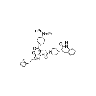 CCCN(CCC)C1CCN(C(=O)[C@H](CC(=O)N2CCC(N3Cc4ccccc4NC3=O)CC2)NC(=O)NCCc2cccs2)CC1